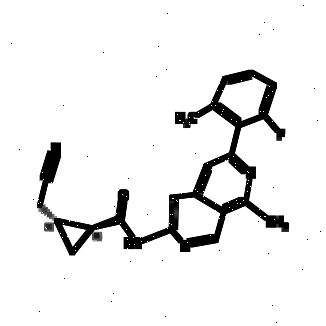 Cc1cccc(F)c1-c1cc2cc(NC(=O)[C@H]3C[C@@H]3CC#N)ncc2c(N)n1